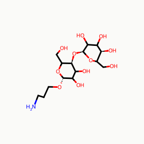 NCCCO[C@@H]1OC(CO)[C@@H](O[C@@H]2OC(CO)[C@H](O)C(O)C2O)C(O)C1O